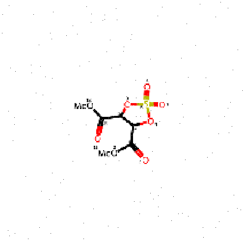 COC(=O)C1OS(=O)(=O)OC1C(=O)OC